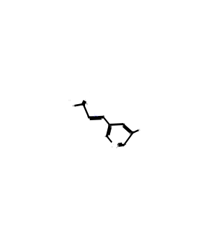 Cc1[c]ncc(/C=C/C(=O)O)c1